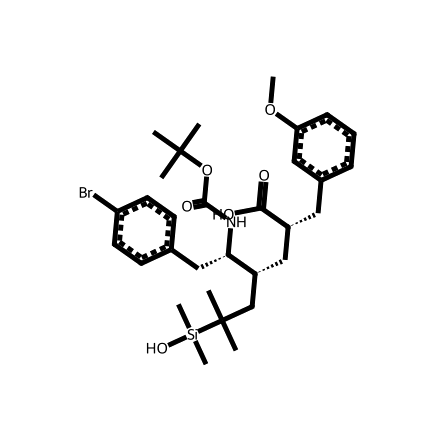 COc1cccc(C[C@H](C[C@H](CC(C)(C)[Si](C)(C)O)[C@H](Cc2ccc(Br)cc2)NC(=O)OC(C)(C)C)C(=O)O)c1